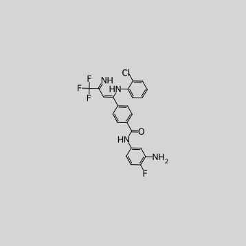 N=C(/C=C(\Nc1ccccc1Cl)c1ccc(C(=O)Nc2ccc(F)c(N)c2)cc1)C(F)(F)F